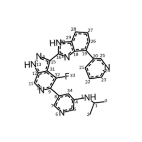 CC(C)Nc1cncc(-c2ncc3[nH]nc(-c4nc5c(-c6cccnc6)cccc5[nH]4)c3c2F)c1